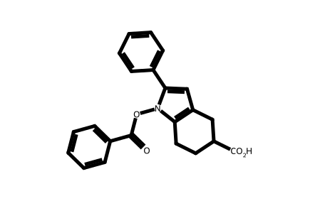 O=C(On1c(-c2ccccc2)cc2c1CCC(C(=O)O)C2)c1ccccc1